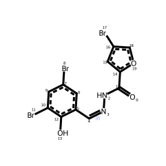 O=C(N/N=C\c1cc(Br)cc(Br)c1O)c1cc(Br)co1